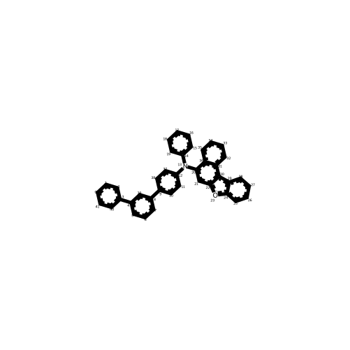 c1ccc(-c2cccc(-c3ccc(N(c4ccccc4)c4cc5oc6ccccc6c5c5ccccc45)cc3)c2)cc1